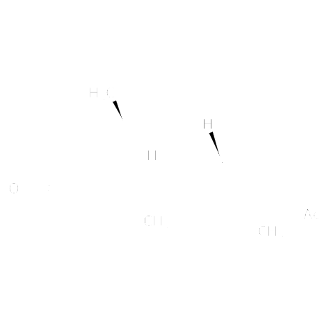 CC(=O)[C@H]1CC[C@H]2[C@@H]3C[C@H](C)C4=CC(=O)C=C[C@]4(C)C3=CC[C@]12C